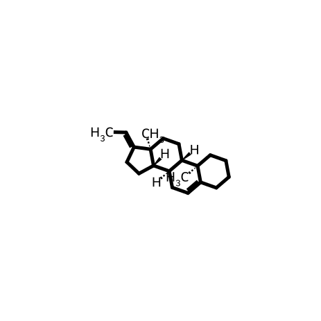 CC=C1CC[C@H]2[C@@H]3CC=C4CCCC[C@]4(C)[C@H]3CC[C@]12C